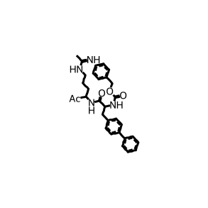 CC(=N)NCCCC(NC(=O)C(Cc1ccc(-c2ccccc2)cc1)NC(=O)OCc1ccccc1)C(C)=O